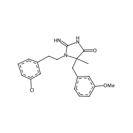 COc1cccc(CC2(C)C(=O)NC(=N)N2CCc2cccc(Cl)c2)c1